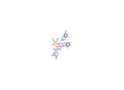 CCCC(CCC)S(=O)(=O)CC(NC(=O)C1=NNC(=O)CC1)C(=O)O[C@H](CNCc1cccc(CC)c1)[C@@H](N)Cc1cc(F)cc(F)c1